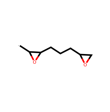 [CH2]C1OC1CCCC1CO1